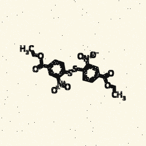 CCOC(=O)c1ccc(SSc2ccc(C(=O)OCC)cc2[N+](=O)[O-])c([N+](=O)[O-])c1